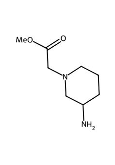 COC(=O)CN1CCCC(N)C1